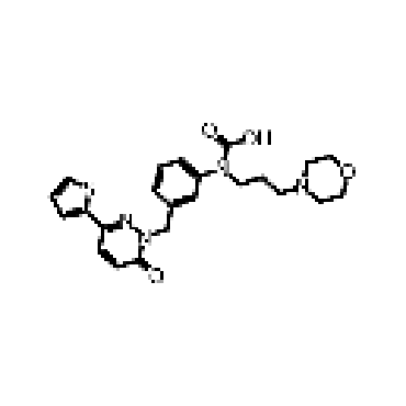 O=C(O)N(CCCN1CCOCC1)c1cccc(Cn2nc(-c3cccs3)ccc2=O)c1